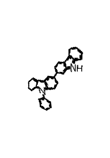 C1=c2c(n(-c3ccccc3)c3ccc(-c4ccc5c(c4)[nH]c4ccccc45)cc23)=CCC1